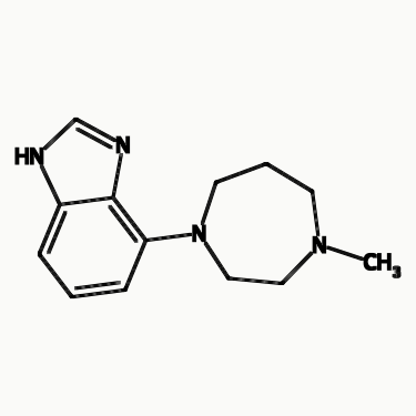 CN1CCCN(c2cccc3[nH]cnc23)CC1